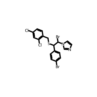 Clc1ccc(CSC(c2ccc(Br)cc2)C(Br)n2ccnc2)c(Cl)c1